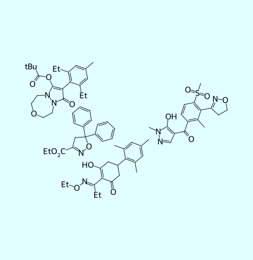 CCO/N=C(\CC)C1=C(O)CC(c2c(C)cc(C)cc2C)CC1=O.CCOC(=O)C1=NOC(c2ccccc2)(c2ccccc2)C1.CCc1cc(C)cc(CC)c1-c1c(OC(=O)C(C)(C)C)n2n(c1=O)CCOCC2.Cc1c(C(=O)c2cnn(C)c2O)ccc(S(C)(=O)=O)c1C1=NOCC1